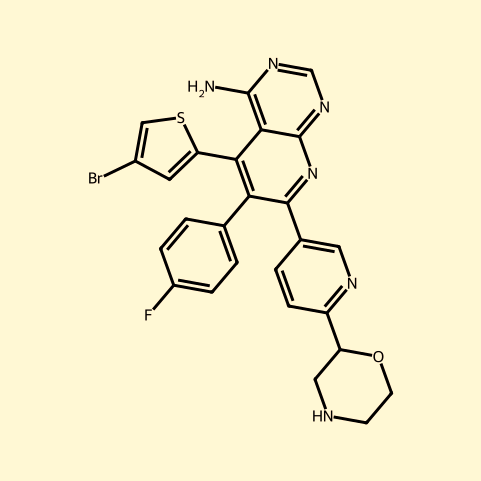 Nc1ncnc2nc(-c3ccc(C4CNCCO4)nc3)c(-c3ccc(F)cc3)c(-c3cc(Br)cs3)c12